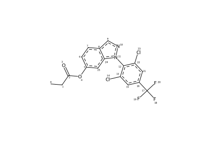 CCC(=O)Oc1ccc2cnn(-c3c(Cl)cc(C(F)(F)F)cc3Cl)c2c1